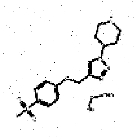 CC(C)(C)OC=O.CS(=O)(=O)c1ccc(OCc2cn(C3CCNCC3)nn2)cc1